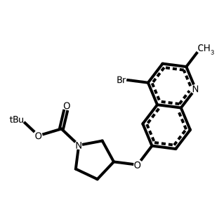 Cc1cc(Br)c2cc(OC3CCN(C(=O)OC(C)(C)C)C3)ccc2n1